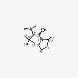 CC(C)C(C(=O)N1CCCC1C)C(C)(C)C